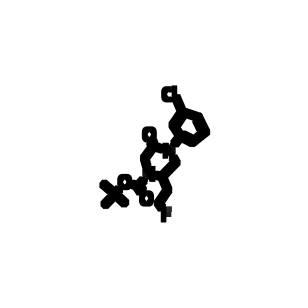 CC(C)(C)OC(=O)N1CC(=O)N(c2cccc(Cl)c2)CC1CCF